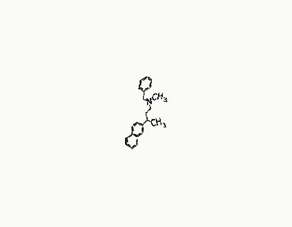 CC(CCN(C)Cc1ccccc1)c1ccc2ccccc2c1